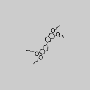 C=CCCOc1cc2ccc(-c3ccc4cc(OCC=C)c(OCC=C)cc4c3)cc2cc1OCCC=C